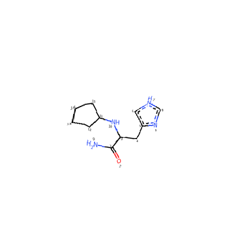 NC(=O)C(Cc1c[nH]cn1)NC1CCCC1